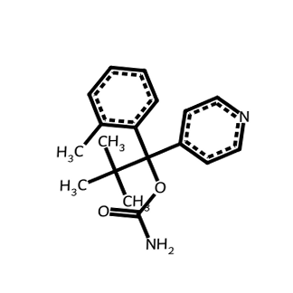 Cc1ccccc1C(OC(N)=O)(c1ccncc1)C(C)(C)C